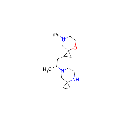 CC(C)N1CCOC2(CC2CC(C)N2CCNC3(CC3)C2)C1